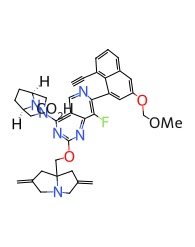 C#Cc1cccc2cc(OCOC)cc(-c3ncc4c(N5C[C@H]6CC[C@@H](C5)N6C(=O)O)nc(OCC56CC(=C)CN5CC(=C)C6)nc4c3F)c12